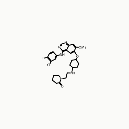 COc1cc2ncnc(Nc3ccc(F)c(Cl)c3)c2cc1OC1CCC(NCCN2CCCCC2=O)CC1